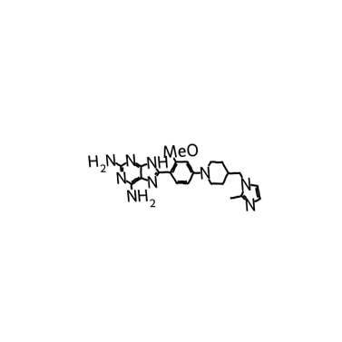 COc1cc(N2CCC(Cn3ccnc3C)CC2)ccc1-c1nc2c(N)nc(N)nc2[nH]1